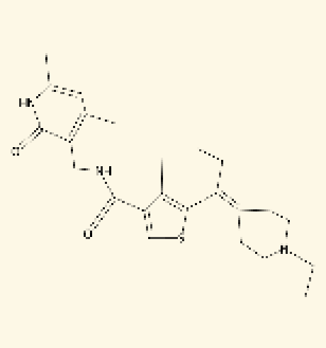 CCC(=C1CCN(CC)CC1)c1scc(C(=O)NCc2c(C)cc(C)[nH]c2=O)c1C